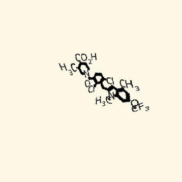 Cc1cc(OC(F)(F)F)cc2c1cc(Cc1c(Cl)ccc(C(=O)N3CC[C@H](C(=O)O)[C@H](C)C3)c1Cl)n2C